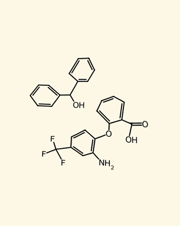 Nc1cc(C(F)(F)F)ccc1Oc1ccccc1C(=O)O.OC(c1ccccc1)c1ccccc1